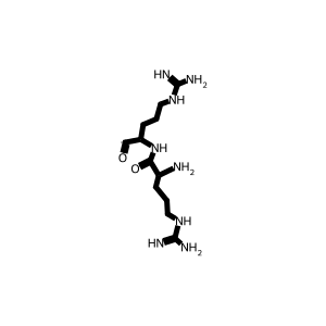 N=C(N)NCCCC([C]=O)NC(=O)C(N)CCCNC(=N)N